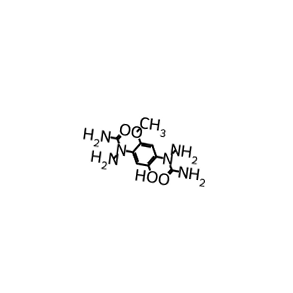 COc1cc(N(N)C(N)=O)c(O)cc1N(N)C(N)=O